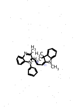 Cc1nc2ccccc2[n+](-c2ccccc2)c1/C=C/C=C1/N(C)c2ccccc2C1(C)C